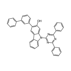 Oc1cc2c(cc1-c1cccc(-c3ccccc3)c1)c1ccccc1n2-c1nc(-c2ccccc2)nc(-c2ccccc2)n1